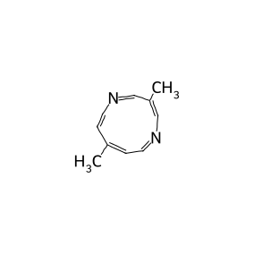 Cc1ccncc(C)cncc1